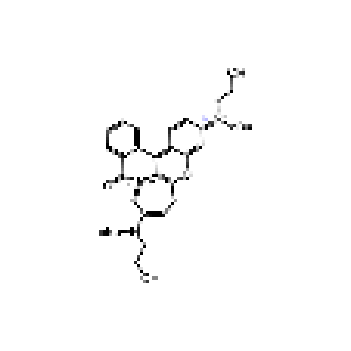 CCCCN(CCO)C1=CCc2oc3c/c(=[N+](/CCO)CCCC)ccc-3c(-c3ccccc3C(=O)OC)c2C=C1